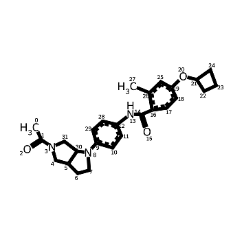 CC(=O)N1CC2CCN(c3ccc(NC(=O)c4ccc(OC5CCC5)cc4C)cc3)C2C1